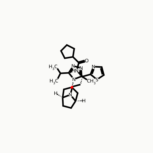 Cc1nnc(C(C)C)n1[C@@H]1C[C@H]2CC[C@@H](C1)N2CC[C@H](NC(=O)C1CCCC1)c1nccs1